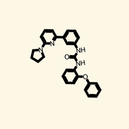 O=C(Nc1cccc(-c2cccc(N3CCCC3)n2)c1)Nc1ccccc1Oc1ccccc1